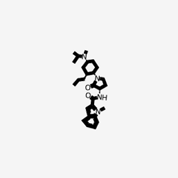 CCC[C@H]1C[C@H](N(C)C(C)C)CC[C@@H]1N1CC[C@H](NC(=O)c2cc3ccccc3n2C)C1=O